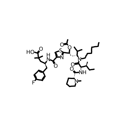 CCCCCCN(C(=O)[C@@H](NC(=O)[C@H]1CCCCN1C)[C@@H](C)CC)[C@H](C[C@@H](OC(C)=O)c1nc(C(=O)N[C@@H](Cc2ccc(F)cc2)CC(C)(C)C(=O)O)cs1)C(C)C